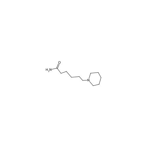 NC(=O)CCCCCN1CCCCC1